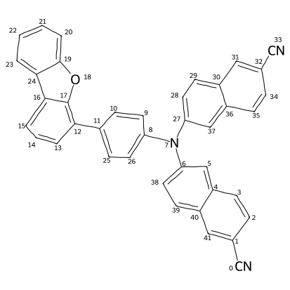 N#Cc1ccc2cc(N(c3ccc(-c4cccc5c4oc4ccccc45)cc3)c3ccc4cc(C#N)ccc4c3)ccc2c1